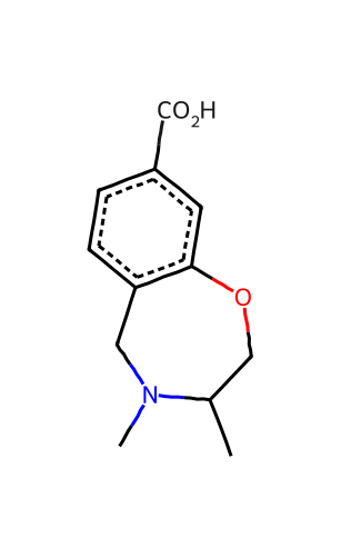 CC1COc2cc(C(=O)O)ccc2CN1C